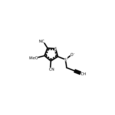 C#CC[S+]([O-])c1sc(C#N)c(OC)c1C#N